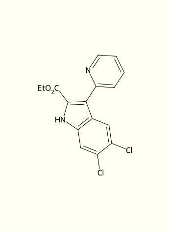 CCOC(=O)c1[nH]c2cc(Cl)c(Cl)cc2c1-c1ccccn1